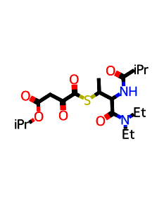 CCN(CC)C(=O)C(NC(=O)C(C)C)C(C)SC(=O)C(=O)CC(=O)OC(C)C